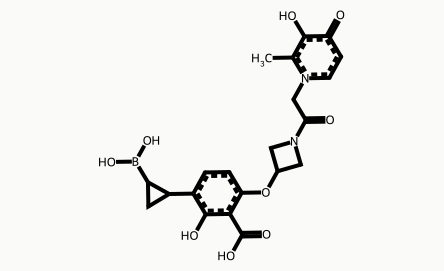 Cc1c(O)c(=O)ccn1CC(=O)N1CC(Oc2ccc(C3CC3B(O)O)c(O)c2C(=O)O)C1